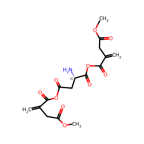 C=C(CC(=O)OC)C(=O)OC(=O)C[C@H](N)C(=O)OC(=O)C(=C)CC(=O)OC